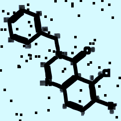 O=c1c2c(Cl)c(Br)ccc2ncn1Cc1ccccc1